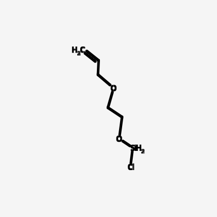 C=CCOCCO[SiH2]Cl